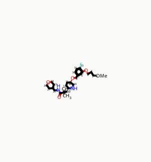 COCCCOc1cc(CO[C@@H]2CC[C@@H](CC(C)(C)C(=O)NCC3CCOCC3)NC2)ccc1F